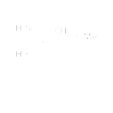 COc1ccccc1C(C)(C)[SiH3]